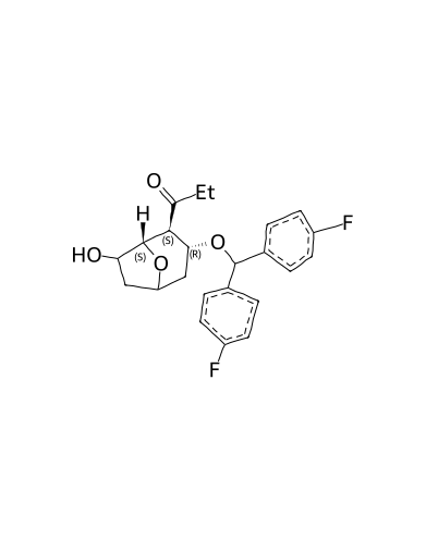 CCC(=O)[C@@H]1[C@@H]2OC(CC2O)C[C@H]1OC(c1ccc(F)cc1)c1ccc(F)cc1